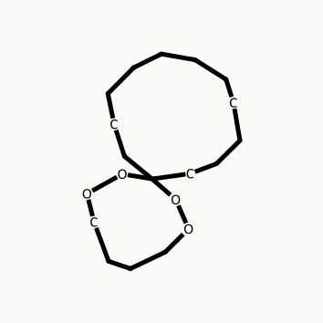 C1CCCCCC2(CCCCC1)OOCCCCOO2